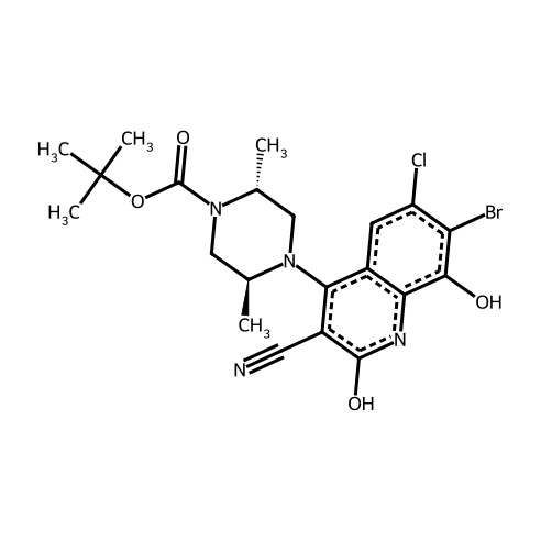 C[C@@H]1CN(c2c(C#N)c(O)nc3c(O)c(Br)c(Cl)cc23)[C@@H](C)CN1C(=O)OC(C)(C)C